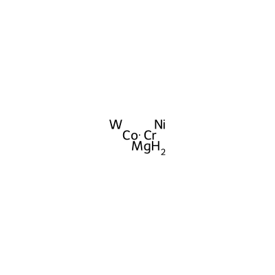 [Co].[Cr].[MgH2].[Ni].[W]